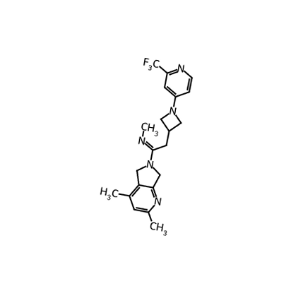 CN=C(CC1CN(c2ccnc(C(F)(F)F)c2)C1)N1Cc2nc(C)cc(C)c2C1